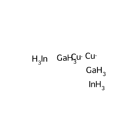 [Cu].[Cu].[GaH3].[GaH3].[InH3].[InH3]